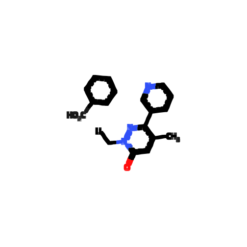 O=C(O)c1ccccc1.[Li][CH2]n1nc(-c2cccnc2)c(C)cc1=O